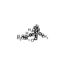 COc1ccc(C(NC(=O)C(Cc2ccc(CNC(=O)OC(C)(C)C)cc2)NC(=O)c2cccc(Cl)c2)C(=O)NC(C(=O)C(F)(F)F)C(C)C)cc1